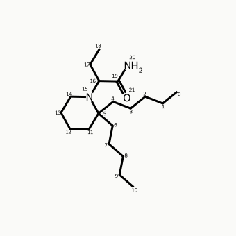 CCCCCC1(CCCCC)CCCCN1C(CC)C(N)=O